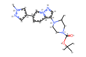 CC1CN(C(=O)OC(C)(C)C)CCN1c1cnn2cc(-c3cnn(C)c3)ccc12